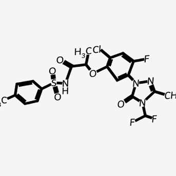 Cc1ccc(S(=O)(=O)NC(=O)C(C)Oc2cc(-n3nc(C)n(C(F)F)c3=O)c(F)cc2Cl)cc1